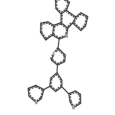 c1cncc(-c2cc(-c3ccc(-c4nc5c6ccccc6c6ccccc6c5c5ccccc45)cc3)cc(-c3cccnc3)c2)c1